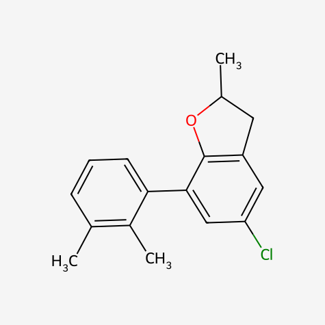 Cc1cccc(-c2cc(Cl)cc3c2OC(C)C3)c1C